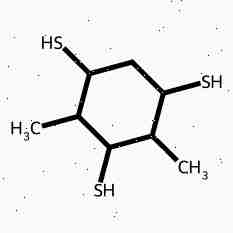 CC1C(S)CC(S)C(C)C1S